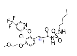 CCCCCNS(=O)(=O)NC(=O)/C(C)=C/c1ccc(OCCOC)cc1Oc1ncc(C(F)(F)F)cc1Cl